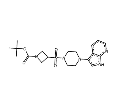 CC(C)(C)OC(=O)N1CC(S(=O)(=O)N2CCN(c3c[nH]c4ncccc34)CC2)C1